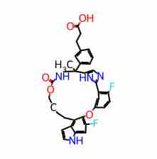 CC1(c2cccc(CCC(=O)O)c2)CNC(=O)OCCCCc2c(c(F)cc3[nH]ccc23)Oc2ccc(F)c(c2)-c2ncc1[nH]2